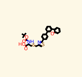 CC(C)(C)OC(=O)NC(CSCc1csc(-c2ccc(-c3cccc4c3oc3ccccc34)cc2)n1)C(=O)O